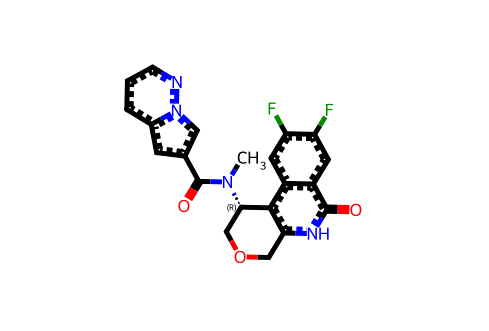 CN(C(=O)c1cc2cccnn2c1)[C@H]1COCc2[nH]c(=O)c3cc(F)c(F)cc3c21